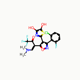 CN(C)/C=C(\C(=O)C(F)(F)F)c1onc(-c2c(F)cccc2Cl)c1-c1nc(O)c(O)s1